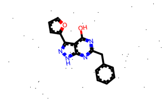 Oc1nc(Cc2ccccc2)nc2[nH]nc(-c3ccco3)c12